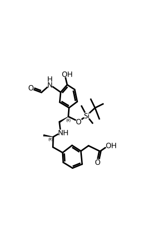 C[C@H](Cc1cccc(CC(=O)O)c1)NC[C@H](O[Si](C)(C)C(C)(C)C)c1ccc(O)c(NC=O)c1